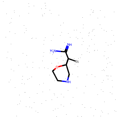 CCC(C(=N)N)C1CNCCO1